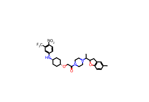 Cc1ccc2c(c1)CC(C(C)N1CCN(C(=O)CO[C@H]3CC[C@H](Nc4ccc([N+](=O)[O-])c(C(F)(F)F)c4)CC3)CC1)O2